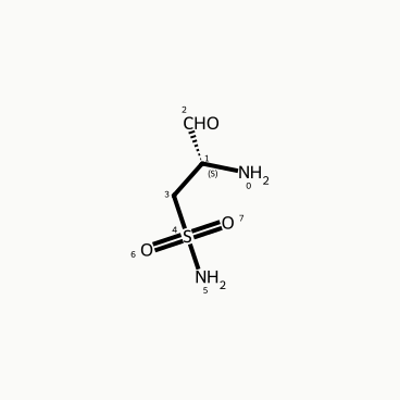 N[C@@H](C=O)CS(N)(=O)=O